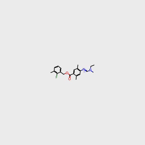 CCN(C)/C=N/c1cc(C)c(C(=O)OCc2cccc(C)c2F)cc1C